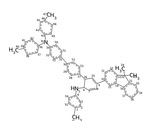 Cc1ccc(NC2C=CC(c3ccc4c(c3)-c3ccccc3C4(C)C)=CC2c2ccc(-c3ccc(N(c4ccc(C)cc4)c4ccc(C)cc4)cc3)cc2)cc1